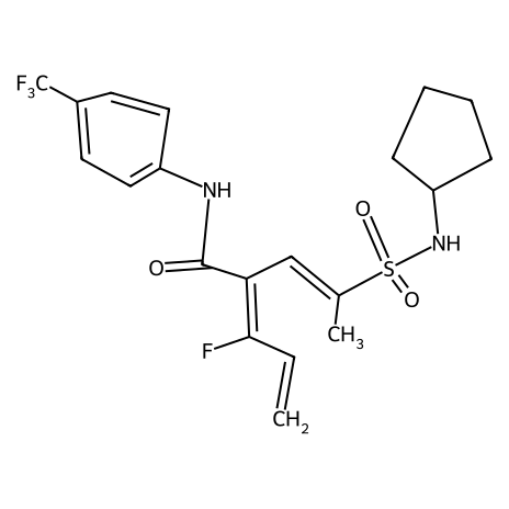 C=C/C(F)=C(\C=C(/C)S(=O)(=O)NC1CCCC1)C(=O)Nc1ccc(C(F)(F)F)cc1